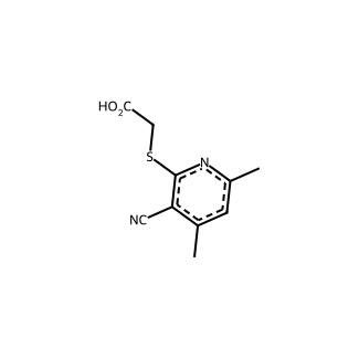 Cc1cc(C)c(C#N)c(SCC(=O)O)n1